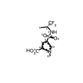 C[C@@H](NS(=O)(=O)c1cc(C(=O)O)n(C)c1)C(F)(F)F